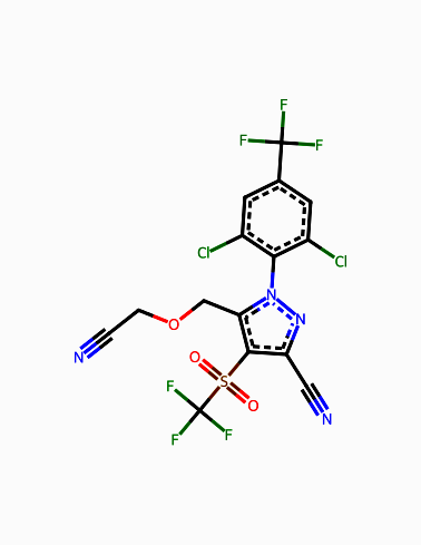 N#CCOCc1c(S(=O)(=O)C(F)(F)F)c(C#N)nn1-c1c(Cl)cc(C(F)(F)F)cc1Cl